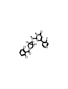 CN(c1nc(-c2ccncc2F)cc(=O)n1C)[C@@H]1[C@@H]2CN(C(=O)c3c(Cl)cccc3Cl)C[C@@H]21